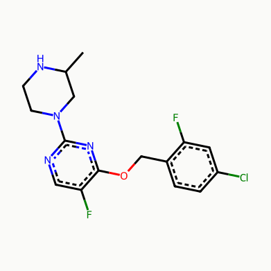 CC1CN(c2ncc(F)c(OCc3ccc(Cl)cc3F)n2)CCN1